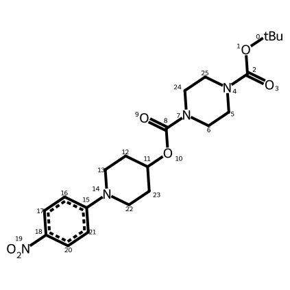 CC(C)(C)OC(=O)N1CCN(C(=O)OC2CCN(c3ccc([N+](=O)[O-])cc3)CC2)CC1